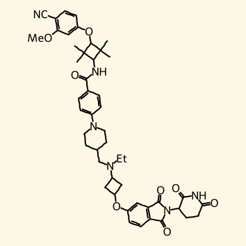 CCN(CC1CCN(c2ccc(C(=O)NC3C(C)(C)C(Oc4ccc(C#N)c(OC)c4)C3(C)C)cc2)CC1)C1CC(Oc2ccc3c(c2)C(=O)N(C2CCC(=O)NC2=O)C3=O)C1